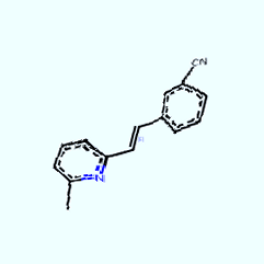 Cc1cccc(/C=C/c2cccc(C#N)c2)n1